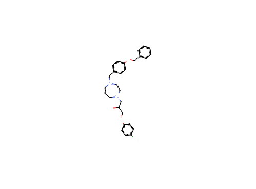 OC(COc1ccc(Cl)cc1)CN1CCCN(Cc2ccc(OCc3ccccc3)cc2)CC1